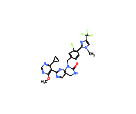 COc1ncnc(C2CC2)c1-c1ncc2c(n1)N(Cc1ccc(-c3nc(C(F)(F)F)cn3C)c(F)c1)C(=O)NC2